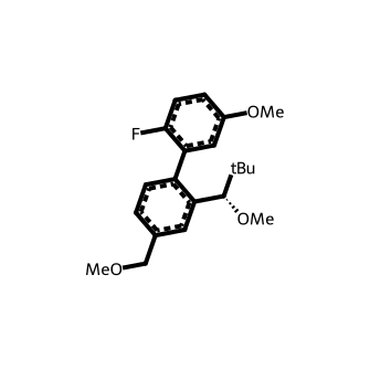 COCc1ccc(-c2cc(OC)ccc2F)c([C@@H](OC)C(C)(C)C)c1